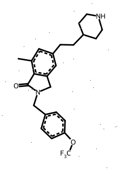 Cc1cc(CCC2CCNCC2)cc2c1C(=O)N(Cc1ccc(OC(F)(F)F)cc1)C2